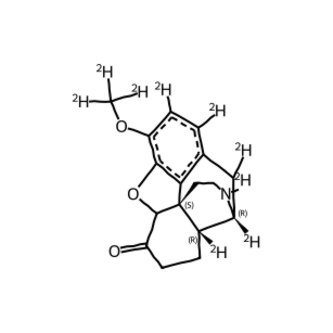 [2H]c1c([2H])c2c3c(c1OC([2H])([2H])[2H])OC1C(=O)CC[C@]4([2H])[C@@]31CCN(C)[C@]4([2H])C2([2H])[2H]